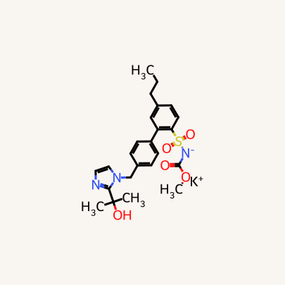 CCCc1ccc(S(=O)(=O)[N-]C(=O)OC)c(-c2ccc(Cn3ccnc3C(C)(C)O)cc2)c1.[K+]